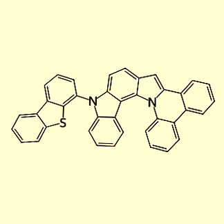 c1ccc2c(c1)sc1c(-n3c4ccccc4c4c3ccc3cc5c6ccccc6c6ccccc6n5c34)cccc12